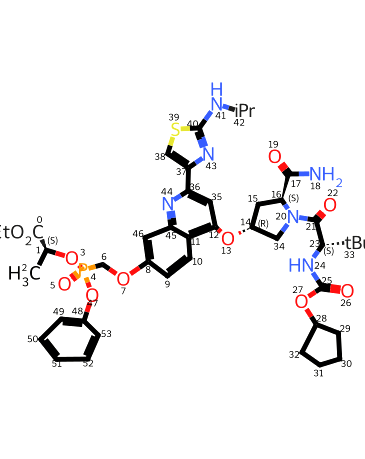 CCOC(=O)[C@H](C)OP(=O)(COc1ccc2c(O[C@@H]3C[C@@H](C(N)=O)N(C(=O)[C@@H](NC(=O)OC4CCCC4)C(C)(C)C)C3)cc(-c3csc(NC(C)C)n3)nc2c1)Oc1ccccc1